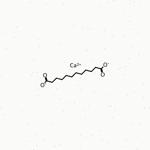 O=C([O-])CCCCCCCCCCC(=O)[O-].[Ca+2]